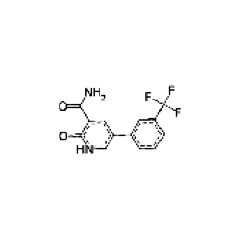 NC(=O)c1cc(-c2cccc(C(F)(F)F)c2)c[nH]c1=O